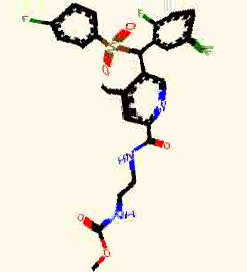 COC(=O)NCCNC(=O)c1cc(C)c(C(c2cc(F)ccc2F)S(=O)(=O)c2ccc(F)cc2)cn1